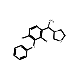 N[C@H](c1ccc(F)c(Oc2ccccc2)c1F)[C@H]1CCOC1